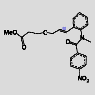 COC(=O)CCCC/C=C/c1ccccc1N(C)C(=O)c1ccc([N+](=O)[O-])cc1